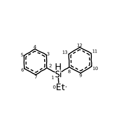 C[CH][SiH](c1ccccc1)c1ccccc1